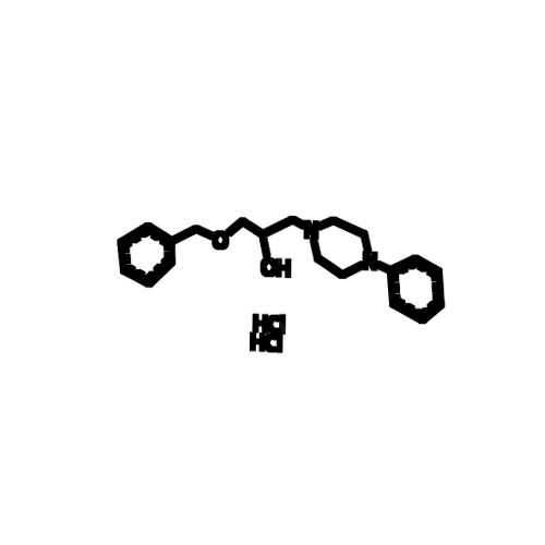 Cl.Cl.OC(COCc1ccccc1)CN1CCN(c2ccccc2)CC1